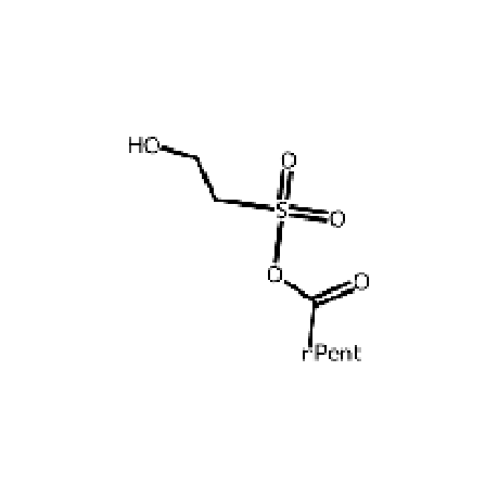 CCCCCC(=O)OS(=O)(=O)CCO